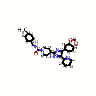 Cc1ccc(CNC(=O)N2CCC(c3nc(-c4ccc5c(c4)OCO5)c(-c4ccccn4)[nH]3)CC2)cc1